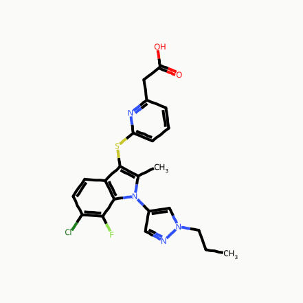 CCCn1cc(-n2c(C)c(Sc3cccc(CC(=O)O)n3)c3ccc(Cl)c(F)c32)cn1